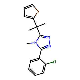 Cn1c(-c2ccccc2Cl)nnc1C(C)(C)c1cccs1